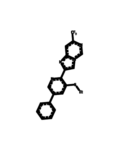 CCSc1cc(-c2ccccc2)cnc1-c1cn2cnc(C(F)(F)F)cc2n1